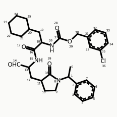 CC(c1ccccc1)N1CCC(CC(C=O)NC(=O)C(CC2CCCCC2)NC(=O)OCc2cccc(Cl)c2)C1=O